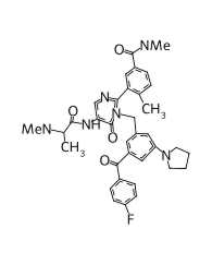 CNC(=O)c1ccc(C)c(-c2ncc(NC(=O)C(C)NC)c(=O)n2Cc2cc(C(=O)c3ccc(F)cc3)cc(N3CCCC3)c2)c1